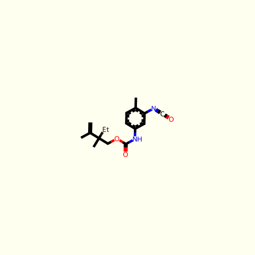 C=C(C)C(C)(CC)COC(=O)Nc1ccc(C)c(N=C=O)c1